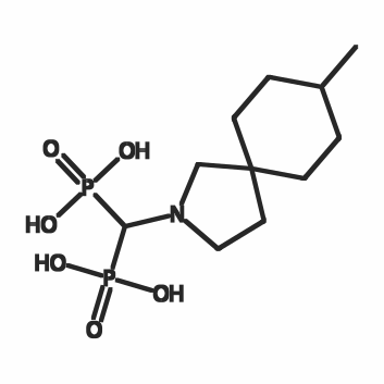 CC1CCC2(CC1)CCN(C(P(=O)(O)O)P(=O)(O)O)C2